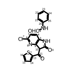 O=C1Nc2ccc(Cl)nc2C1C(=O)c1cccs1.O=CNc1ccccc1